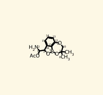 CC(=O)OC(N)C1OB2OC(C)(C)COc3cccc1c32